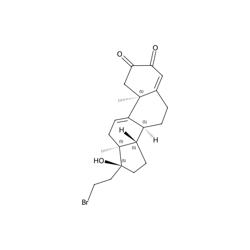 C[C@]12CC(=O)C(=O)C=C1CC[C@@H]1C2=CC[C@@]2(C)[C@H]1CC[C@]2(O)CCBr